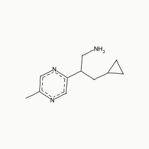 Cc1cnc(C(CN)CC2CC2)cn1